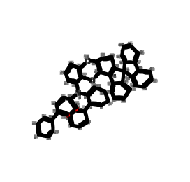 C1=C(c2ccccc2)C(N(c2ccc(-c3ccccc3)cc2)c2cccc3c2Oc2c(ccc4c2-c2ccccc2C42c4ccccc4-c4ccccc42)O3)=CCC1